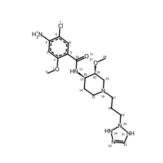 COc1cc(N)c(Cl)cc1C(=O)N[C@@H]1CCN(CCCN2NC=NN2)C[C@@H]1OC